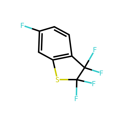 Fc1ccc2c(c1)SC(F)(F)C2(F)F